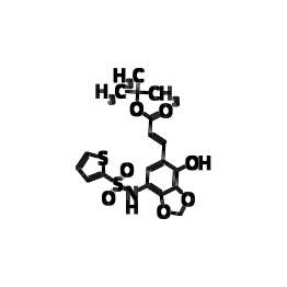 CC(C)(C)OC(=O)/C=C/c1cc(NS(=O)(=O)c2cccs2)c2c(c1O)OCO2